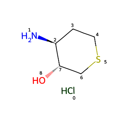 Cl.N[C@H]1CCSC[C@@H]1O